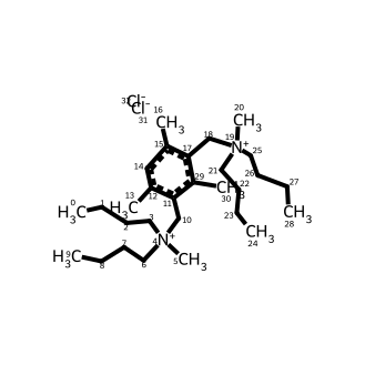 CCCC[N+](C)(CCCC)Cc1c(C)cc(C)c(C[N+](C)(CCCC)CCCC)c1C.[Cl-].[Cl-]